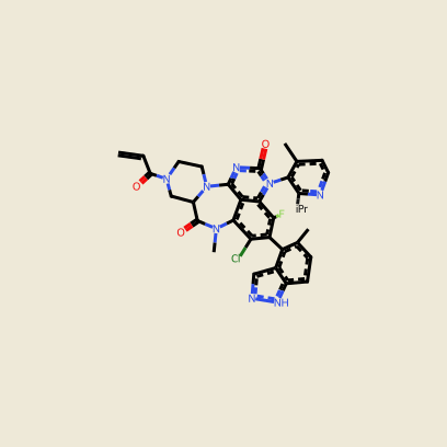 C=CC(=O)N1CCN2c3nc(=O)n(-c4c(C)ccnc4C(C)C)c4c(F)c(-c5c(C)ccc6[nH]ncc56)c(Cl)c(c34)N(C)C(=O)C2C1